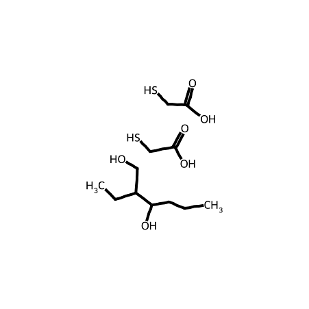 CCCC(O)C(CC)CO.O=C(O)CS.O=C(O)CS